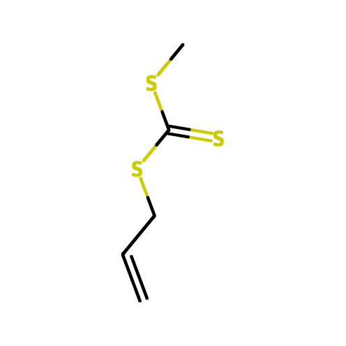 C=CCSC(=S)SC